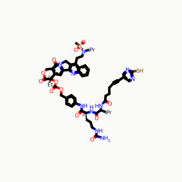 CC[C@@]1(OC(=O)OCc2ccc(NC(=O)[C@H](CCCNC(N)=O)NC(=O)C(NC(=O)CCCC#Cc3cnc(S)nc3)C(C)C)cc2)C(=O)OCc2c1cc1n(c2=O)Cc2c-1nc1ccccc1c2CCN(C(C)C)S(C)(=O)=O